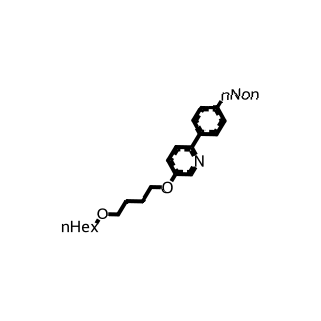 CCCCCCCCCc1ccc(-c2ccc(OCCCCOCCCCCC)cn2)cc1